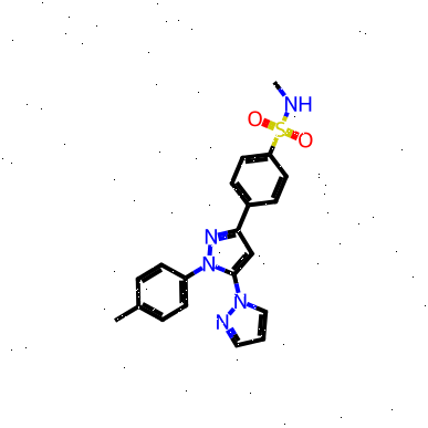 CNS(=O)(=O)c1ccc(-c2cc(-n3cccn3)n(-c3ccc(C)cc3)n2)cc1